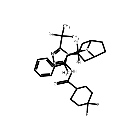 [2H]C(C)(C)c1nnc(C)n1C1CC2CCC(C1)N2C([2H])([2H])CC(NC(=O)C1CCC(F)(F)CC1)c1ccccc1